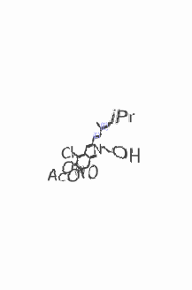 CC(=O)O[C@]1(C)C(=O)C2=CN(CCO)C(/C=C/C(C)=C/C(C)C)=CC2=C(Cl)C1=O